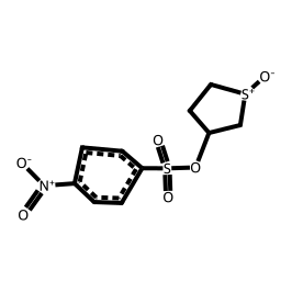 O=[N+]([O-])c1ccc(S(=O)(=O)OC2CC[S+]([O-])C2)cc1